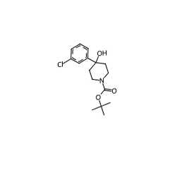 CC(C)(C)OC(=O)N1CCC(O)(c2cccc(Cl)c2)CC1